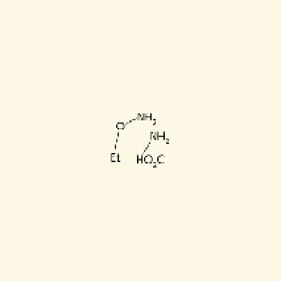 CCON.NC(=O)O